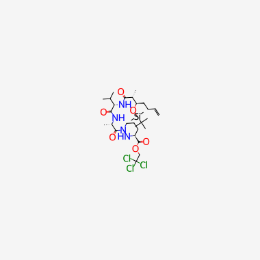 C=CCC[C@@H](O[Si](C)(C)C(C)(C)C)[C@@H](C)C(=O)N[C@H](C(=O)N[C@@H](C)C(=O)N1CCC[C@@H](C(=O)OCC(Cl)(Cl)Cl)N1)C(C)C